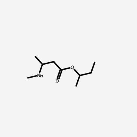 CCC(C)OC(=O)CC(C)NC